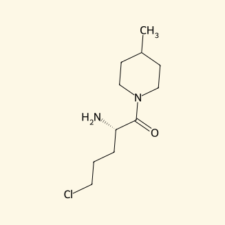 CC1CCN(C(=O)[C@@H](N)CCCCl)CC1